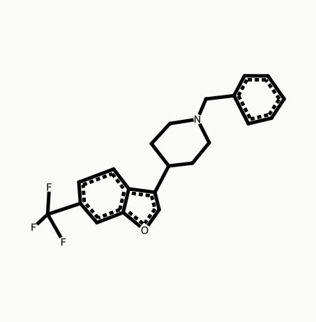 FC(F)(F)c1ccc2c(C3CCN(Cc4ccccc4)CC3)coc2c1